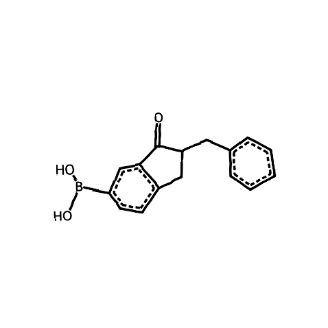 O=C1c2cc(B(O)O)ccc2CC1Cc1ccccc1